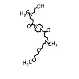 COCCOCCN(C)CCC(=O)N1CCN(C(=O)CCN(C)CCO)CC1